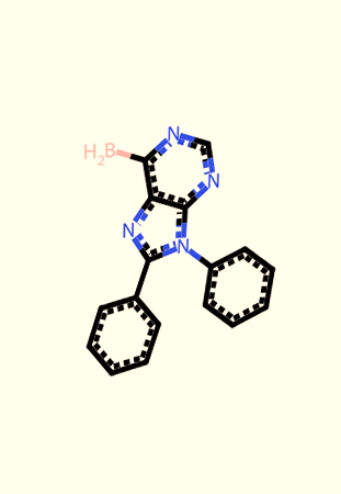 Bc1ncnc2c1nc(-c1ccccc1)n2-c1ccccc1